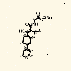 CC(C)(C)OC(=O)CNC(=O)c1c(O)c2ccc(-c3ccncc3)cc2oc1=O